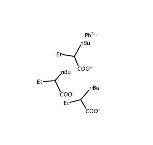 CCCCC(CC)C(=O)[O-].CCCCC(CC)C(=O)[O-].CCCCC(CC)C(=O)[O-].[Pb+3]